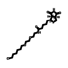 O=C(CCCC[C@@H]1SC[C@@H]2C(=O)NC(=O)[C@H]12)NCCOCCOCCCCCCCl